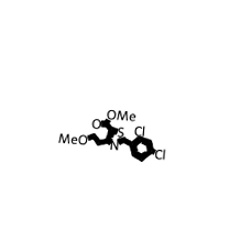 COCCc1nc(-c2ccc(Cl)cc2Cl)sc1C(=O)OC